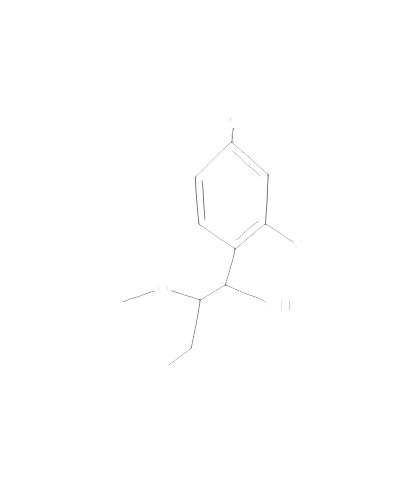 CCC(OC)C(O)c1ccc(Cl)cc1Cl